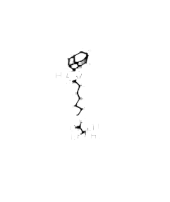 CCC(C)(C)C(=O)OCCCCCCC(=O)OC1(C)C2CC3CC(C2)CC1C3